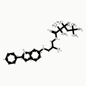 CC(C)(N)CC(C)(N)C(C)(C)C(=O)OCC(CSc1ccc2cc(-c3ccccc3)oc2c1)C(F)(F)F